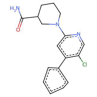 NC(=O)C1CCCN(c2cc(-c3ccccc3)c(Cl)cn2)C1